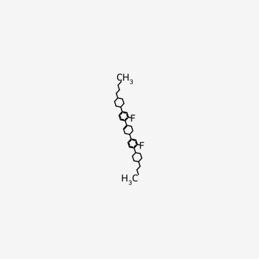 CCCCCC1CCC(c2ccc(C3=CCC(c4ccc(C5CCC(CCCC)CC5)c(F)c4)CC3)c(F)c2)CC1